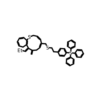 C=C1C/C=C(CSCCc2ccc(S(c3ccccc3)(c3ccccc3)c3ccccc3)cc2)\C=C/CSC2=C(CC=CC=C2)/C1=C\CC